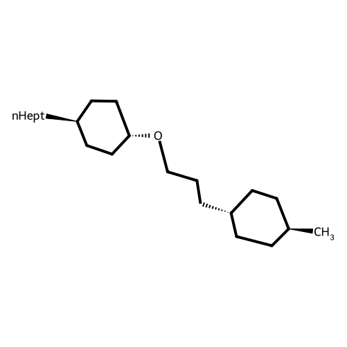 CCCCCCC[C@H]1CC[C@H](OCCC[C@H]2CC[C@H](C)CC2)CC1